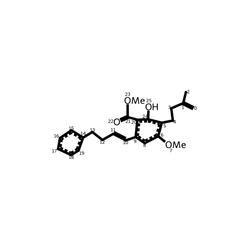 C=C(C)CCc1c(OC)cc(/C=C/CCc2ccccc2)c(C(=O)OC)c1O